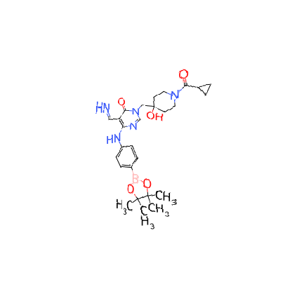 CC1(C)OB(c2ccc(Nc3ncn(CC4(O)CCN(C(=O)C5CC5)CC4)c(=O)c3C=N)cc2)OC1(C)C